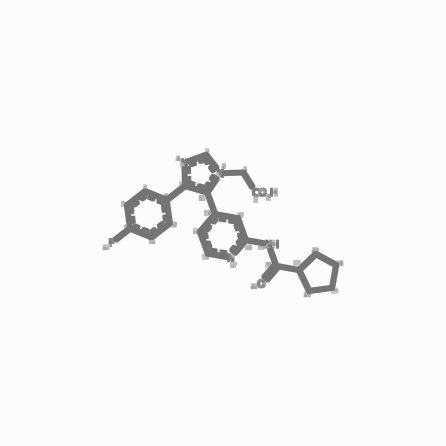 O=C(O)Cn1cnc(-c2ccc(F)cc2)c1-c1ccnc(NC(=O)C2CCCC2)c1